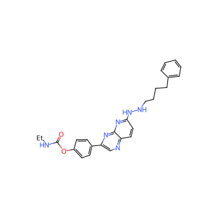 CCNC(=O)Oc1ccc(-c2cnc3ccc(NNCCCCc4ccccc4)nc3n2)cc1